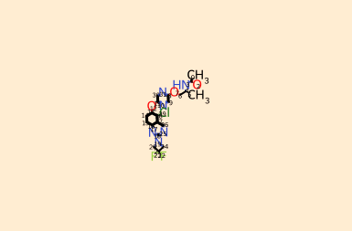 CC(=O)N[C@@H](C)COc1cnc(Oc2ccc3nc(N4CC(F)(F)C4)ncc3c2Cl)cn1